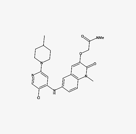 CNC(=O)COc1cc2cc(Nc3cc(N4CCC(I)CC4)ncc3Cl)ccc2n(C)c1=O